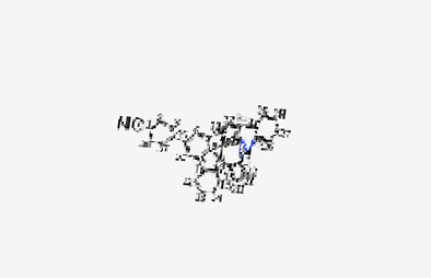 N#Cc1ccc(-c2ccc3c(c2)-c2ccccc2C32c3ccccc3-n3c4ccccc4c4cccc2c43)cc1